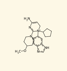 COC1CCN(C2=NC(N)=CC[N+]2(c2cc3[nH]cnc3cn2)C2CCCC2)CC1